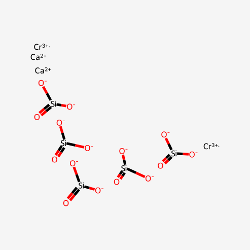 O=[Si]([O-])[O-].O=[Si]([O-])[O-].O=[Si]([O-])[O-].O=[Si]([O-])[O-].O=[Si]([O-])[O-].[Ca+2].[Ca+2].[Cr+3].[Cr+3]